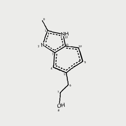 Cc1nc2cc(CCO)ccc2[nH]1